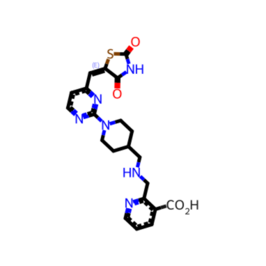 O=C1NC(=O)/C(=C\c2ccnc(N3CCC(CNCc4ncccc4C(=O)O)CC3)n2)S1